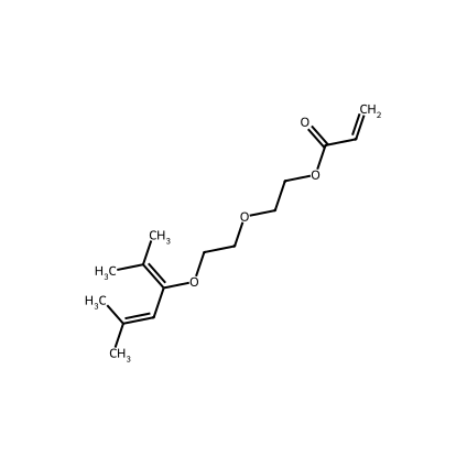 C=CC(=O)OCCOCCOC(C=C(C)C)=C(C)C